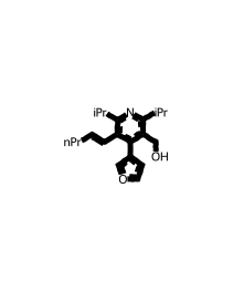 CCCC=Cc1c(C(C)C)nc(C(C)C)c(CO)c1-c1ccoc1